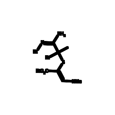 CC/N=C(/N)C(C)(CC)S/C(=C\NC)C(=O)OCC